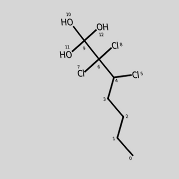 CCCCC(Cl)C(Cl)(Cl)C(O)(O)O